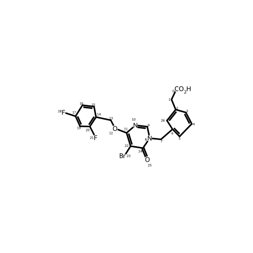 O=C(O)Cc1cccc(Cn2cnc(OCc3ccc(F)cc3F)c(Br)c2=O)c1